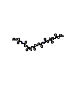 COC(=O)/C=C/C(=O)OCC(=O)N(C)CC(=O)OCOC(=O)/C=C/C(=O)OCC(=O)NCC(=O)OC(C)(C)C